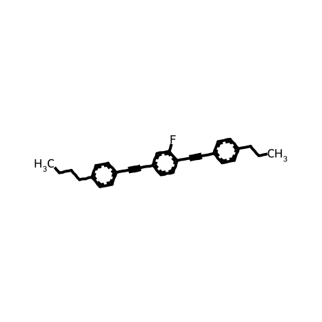 CCCCc1ccc(C#Cc2ccc(C#Cc3ccc(CCC)cc3)c(F)c2)cc1